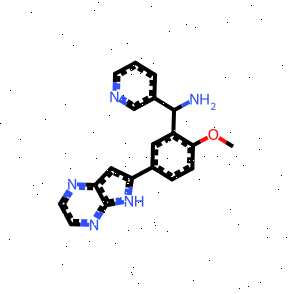 COc1ccc(-c2cc3nccnc3[nH]2)cc1C(N)c1cccnc1